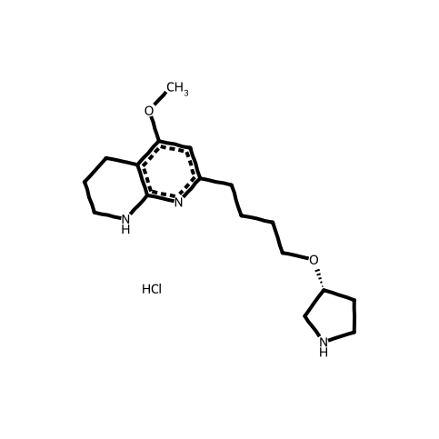 COc1cc(CCCCO[C@@H]2CCNC2)nc2c1CCCN2.Cl